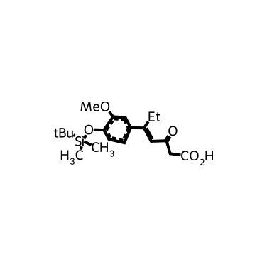 CC/C(=C\C(=O)CC(=O)O)c1ccc(O[Si](C)(C)C(C)(C)C)c(OC)c1